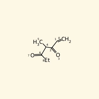 C=CC(=O)C(C)C(=O)CC